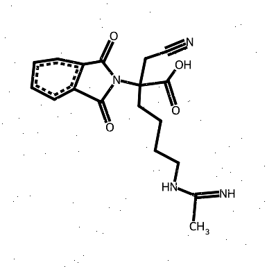 CC(=N)NCCCCC(CC#N)(C(=O)O)N1C(=O)c2ccccc2C1=O